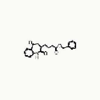 O=C(CCCC1CC(=O)c2ccccc2NC1=O)OCc1ccccc1